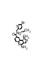 C=CCON(Cc1ccc(Br)cn1)C(=O)c1ccc2nc(N)c3cnn(C)c3c2c1